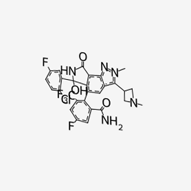 CN1CC(c2c3cc(-c4c(C(N)=O)cc(F)cc4C(F)(F)F)c4c(c3nn2C)C(=O)NC4(O)c2cc(F)ccc2Cl)C1